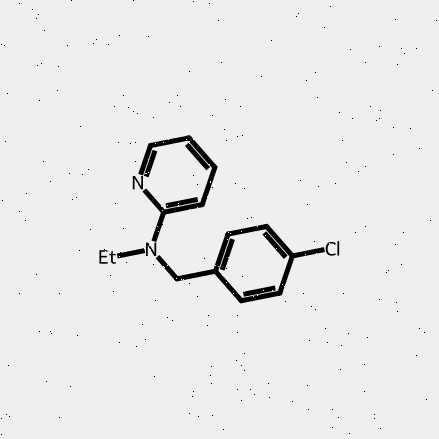 [CH2]CN(Cc1ccc(Cl)cc1)c1ccccn1